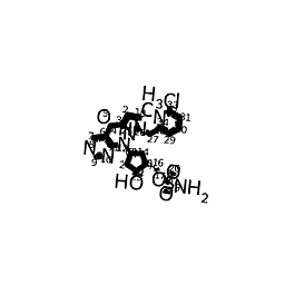 Cc1cc(C(=O)c2cncnc2N[C@@H]2C[C@H](COS(N)(=O)=O)[C@@H](O)C2)nn1Cc1cccc(Cl)n1